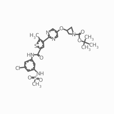 Cc1sc(C(=O)Nc2cc(Cl)cc(NS(C)(=O)=O)c2)cc1-c1ncc(OC2CN(C(=O)OC(C)(C)C)C2)cn1